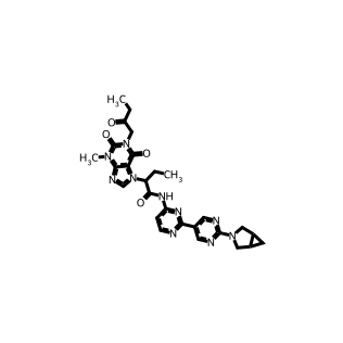 CCC(=O)Cn1c(=O)c2c(ncn2C(CC)C(=O)Nc2ccnc(-c3cnc(N4CC5CC5C4)nc3)n2)n(C)c1=O